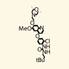 COc1cc2c(Oc3ccc(NC(=O)NCCC(C)(C)C)c(Cl)c3)ccnc2cc1OCCN1C[C@@H](C)O[C@@H](C)C1